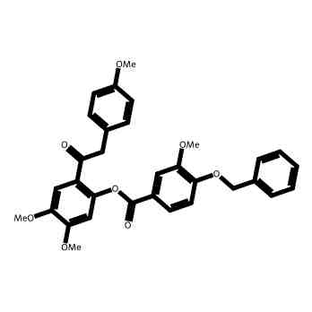 COc1ccc(CC(=O)c2cc(OC)c(OC)cc2OC(=O)c2ccc(OCc3ccccc3)c(OC)c2)cc1